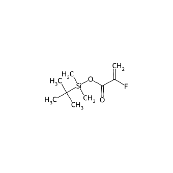 C=C(F)C(=O)O[Si](C)(C)C(C)(C)C